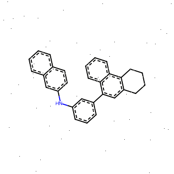 c1cc(Nc2ccc3ccccc3c2)cc(-c2cc3c(c4ccccc24)CCCC3)c1